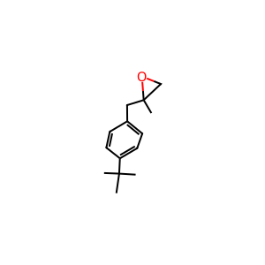 CC1(Cc2ccc(C(C)(C)C)cc2)CO1